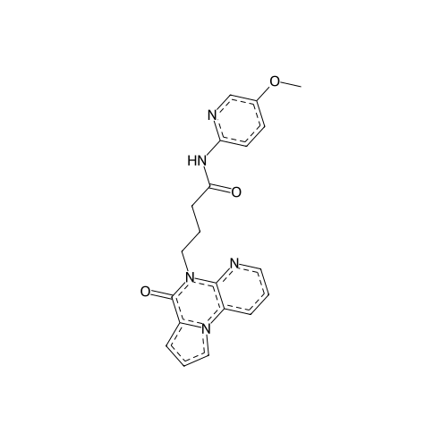 COc1ccc(NC(=O)CCCn2c(=O)c3cccn3c3cccnc32)nc1